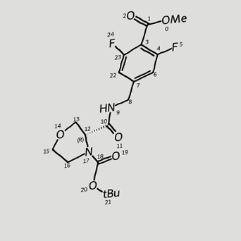 COC(=O)c1c(F)cc(CNC(=O)[C@H]2COCCN2C(=O)OC(C)(C)C)cc1F